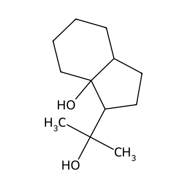 CC(C)(O)C1CCC2CCCCC21O